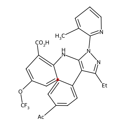 CCc1nn(-c2ncccc2C)c(Nc2ccc(OC(F)(F)F)cc2C(=O)O)c1-c1ccc(C(C)=O)cc1